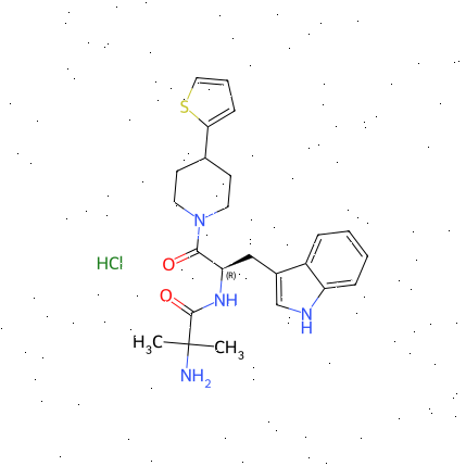 CC(C)(N)C(=O)N[C@H](Cc1c[nH]c2ccccc12)C(=O)N1CCC(c2cccs2)CC1.Cl